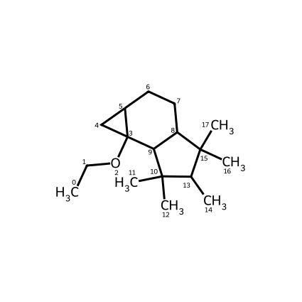 CCOC12CC1CCC1C2C(C)(C)C(C)C1(C)C